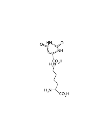 NCCCCC(N)C(=O)O.O=C(O)c1cc(=O)[nH]c(=O)[nH]1